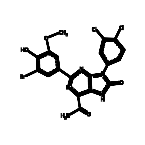 COc1cc(-c2nc(C(N)=O)c3[nH]c(=O)n(-c4ccc(Cl)c(Cl)c4)c3n2)cc(Br)c1O